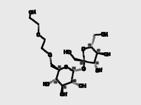 OCCOCCOC[C@H]1O[C@H](O[C@]2(CO)O[C@H](CO)[C@@H](O)[C@@H]2O)[C@H](O)[C@@H](O)[C@@H]1O